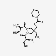 C=C(C=N)C(=O)OCC(CC)(COC(=O)C(=C)C=N)COC(=O)N1CCOCC1